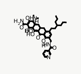 CCCC(CCC)CCc1cc(CNC(=O)c2cccnc2)c(O)c2c1CC1C[C@H]3[C@H](N(C)C)C(O)=C(C(N)=O)C(=O)[C@@]3(O)C(O)=C1C2=O